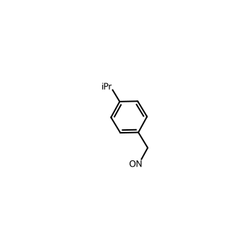 CC(C)c1ccc(CN=O)cc1